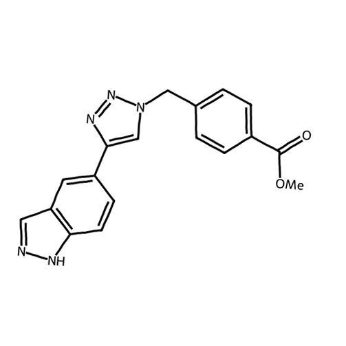 COC(=O)c1ccc(Cn2cc(-c3ccc4[nH]ncc4c3)nn2)cc1